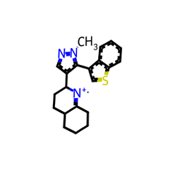 Cn1ncc(C2CCC3CCCCC3=[N+]2)c1-c1csc2ccccc12